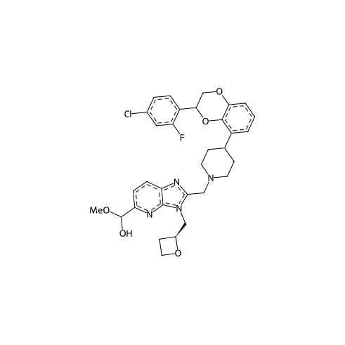 COC(O)c1ccc2nc(CN3CCC(c4cccc5c4OC(c4ccc(Cl)cc4F)CO5)CC3)n(C[C@@H]3CCO3)c2n1